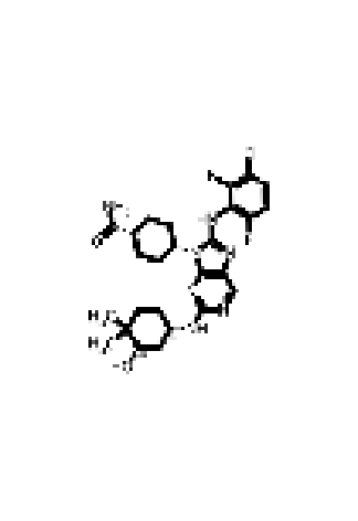 CC1(C)CC[C@H](Nc2ncc3nc(Nc4c(F)ccc(Cl)c4F)n([C@H]4CC[C@@H](C(N)=O)CC4)c3n2)C[C@H]1O